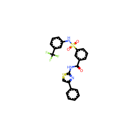 O=C(Nc1nc(-c2ccccc2)cs1)c1cccc(S(=O)(=O)Nc2cccc(C(F)(F)F)c2)c1